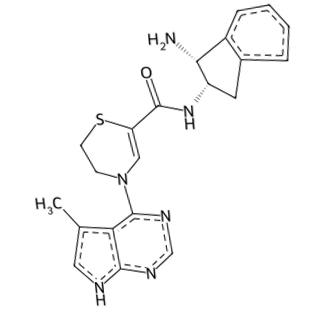 Cc1c[nH]c2ncnc(N3C=C(C(=O)N[C@H]4Cc5ccccc5[C@H]4N)SCC3)c12